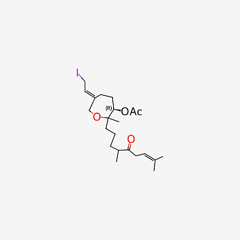 CC(=O)O[C@@H]1CCC(=CCI)COC1(C)CCCC(C)C(=O)CC=C(C)C